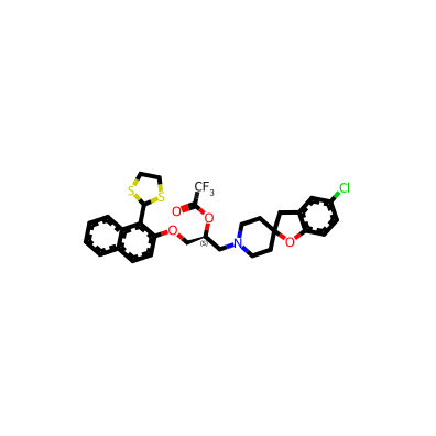 O=C(O[C@H](COc1ccc2ccccc2c1C1SCCS1)CN1CCC2(CC1)Cc1cc(Cl)ccc1O2)C(F)(F)F